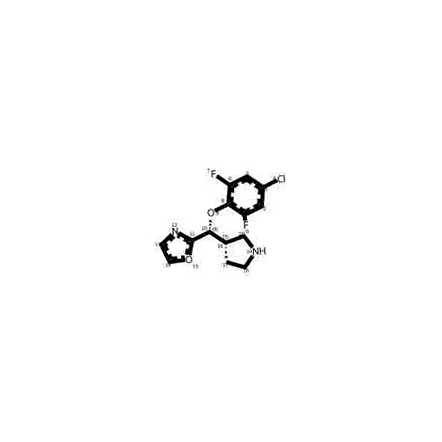 Fc1cc(Cl)cc(F)c1O[C@@H](c1ncco1)[C@H]1CCNC1